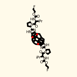 CC(C)C(NC(=O)OCCF)C(=O)N1CCC[C@H]1c1nc2cc(-c3cc4ccc3CCc3ccc(c(-c5ccc6[nH]c([C@@H]7CCCN7C(=O)C(NC(=O)OCCF)C(C)C)nc6c5)c3)CC4)ccc2[nH]1